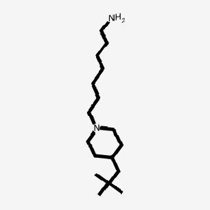 CC(C)(C)CC1CCN(CCCCCCCN)CC1